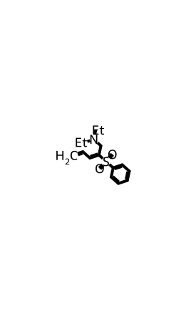 C=CC=C(CN(CC)CC)S(=O)(=O)c1ccccc1